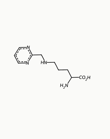 NC(CCCNCc1ncccn1)C(=O)O